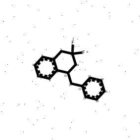 FC1(F)Cc2ccccc2C(Cc2ccccc2)C1